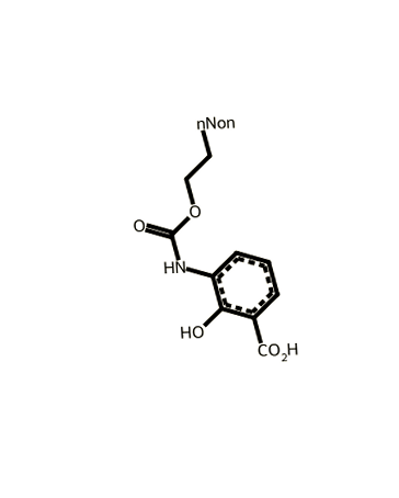 CCCCCCCCCCCOC(=O)Nc1cccc(C(=O)O)c1O